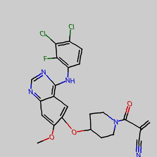 C=C(C#N)C(=O)N1CCC(Oc2cc3c(Nc4ccc(Cl)c(Cl)c4F)ncnc3cc2OC)CC1